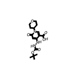 CC(C)(C)OC(=O)NNc1cc(=O)n(C2CCOCC2)cc1C(=O)O